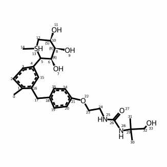 Cc1ccc(C2[C@H](O)[C@H](O)[C@H](O)C[SH]2C)cc1Cc1ccc(OCCNC(=O)NC(C)(C)CO)cc1